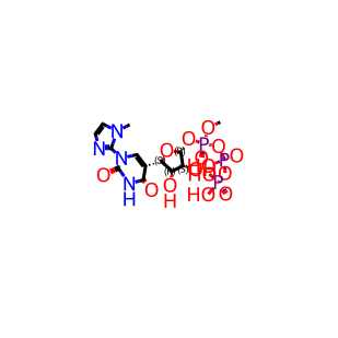 COP(=O)(O[C@H]1O[C@@H](c2cn(-c3nccn3C)c(=O)[nH]c2=O)[C@H](O)[C@@H]1O)OP(=O)(O)OP(=O)(O)O